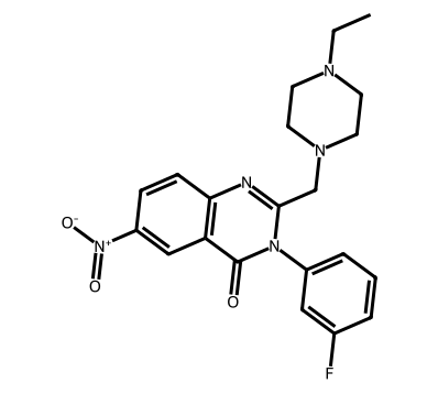 CCN1CCN(Cc2nc3ccc([N+](=O)[O-])cc3c(=O)n2-c2cccc(F)c2)CC1